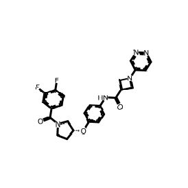 O=C(Nc1ccc(O[C@@H]2CCN(C(=O)c3ccc(F)c(F)c3)C2)cc1)C1CN(c2ccnnc2)C1